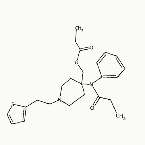 CCC(=O)OCC1(N(C(=O)CC)c2ccccc2)CCN(CCc2cccs2)CC1